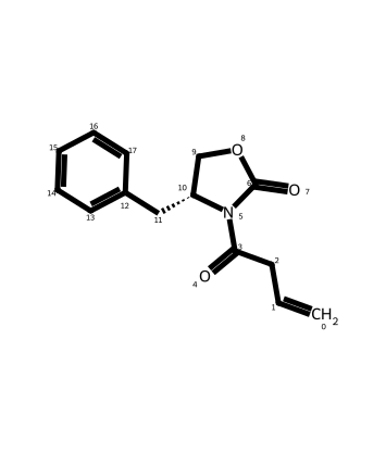 C=CCC(=O)N1C(=O)OC[C@H]1Cc1ccccc1